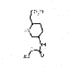 CCOC(=O)CC1CCC(NC(=O)OC(C)(C)C)CN1